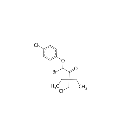 CCC(CC)(CCl)C(=O)C(Br)Oc1ccc(Cl)cc1